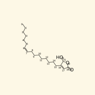 CCCCCC/C=C\CCCCCCCCC1=CC(=O)OC1O